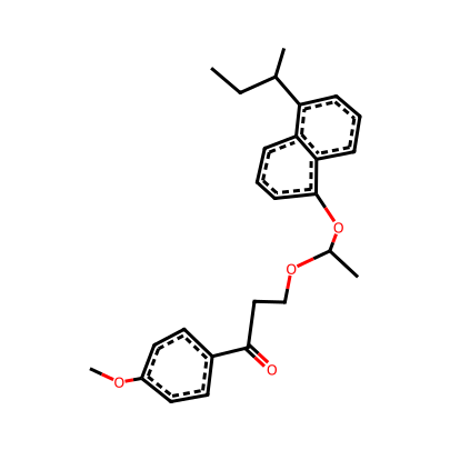 CCC(C)c1cccc2c(OC(C)OCCC(=O)c3ccc(OC)cc3)cccc12